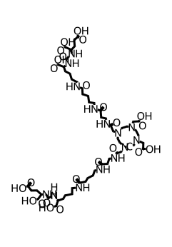 O=C(O)CCC(NC(=O)NC(CCCCNC(=O)CCCCNC(=O)CCNC(=O)CN1CCN(CC(=O)O)CCN(CC(=O)O)CCN(CC(=O)NCCC(=O)NCCCCC(=O)NCCCCC(NC(=O)NC(CCC(=O)O)C(=O)O)C(=O)O)CC1)C(=O)O)C(=O)O